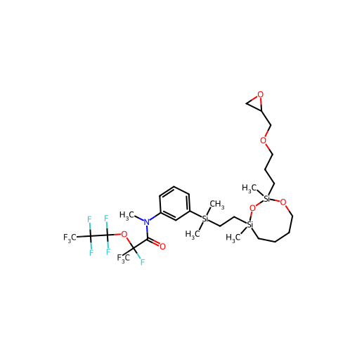 CN(C(=O)C(F)(OC(F)(F)C(F)(F)C(F)(F)F)C(F)(F)F)c1cccc([Si](C)(C)CC[Si]2(C)CCCCO[Si](C)(CCCOCC3CO3)O2)c1